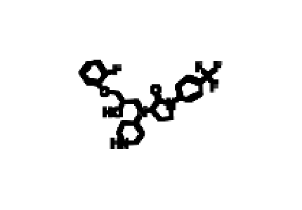 O=C1[C@H](N(C[C@@H](O)COc2ccccc2F)C2CCNCC2)CCN1c1ccc(C(F)(F)F)cc1